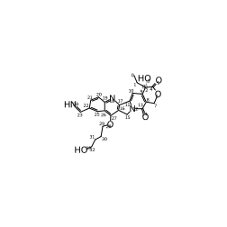 CC[C@@]1(O)C(=O)OCc2c1cc1n(c2=O)Cc2c-1nc1ccc(C=N)cc1c2OCCCCO